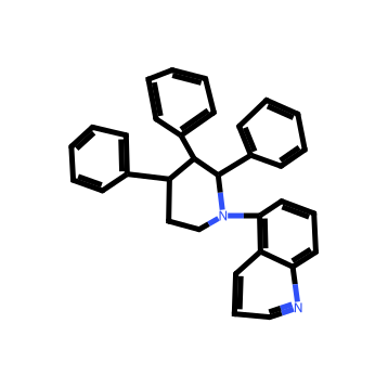 c1ccc(C2CCN(c3cccc4ncccc34)C(c3ccccc3)C2c2ccccc2)cc1